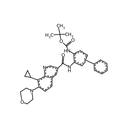 CC(C)(C)OC(=O)Nc1ccc(-c2ccccc2)cc1NC(=O)c1cnc2c(C3CC3)c(N3CCOCC3)ccc2c1